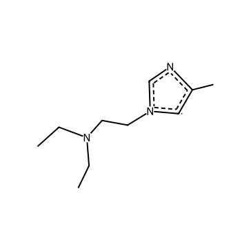 CCN(CC)CCn1[c]c(C)nc1